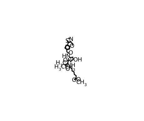 COC(=O)CCCCCC(=O)N[C@H](C(=O)N1C[C@H](O)C[C@H]1NC(=O)Cc1ccc2c(c1)OCc1ncsc1-2)C(C)(C)C